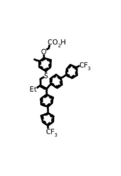 CCC(CSc1ccc(OCC(=O)O)c(C)c1)=C(c1ccc(-c2ccc(C(F)(F)F)cc2)cc1)c1ccc(-c2ccc(C(F)(F)F)cc2)cc1